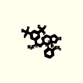 Cc1ccccc1[C@@H]1C(O[C@H](C)c2cc(C(F)(F)F)cc(C(F)(F)F)c2)OCC2CNC[C@H]21